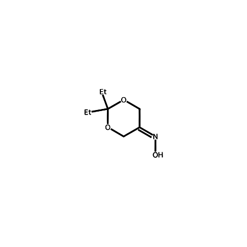 CCC1(CC)OCC(=NO)CO1